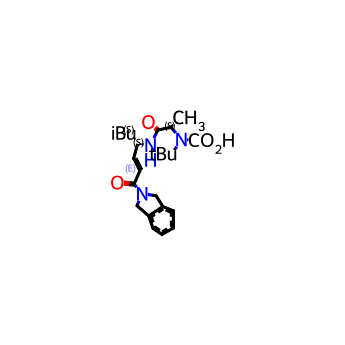 CC[C@H](C)[C@@H](/C=C/C(=O)N1Cc2ccccc2C1)NC(=O)[C@H](C)N(C(=O)O)C(C)(C)C